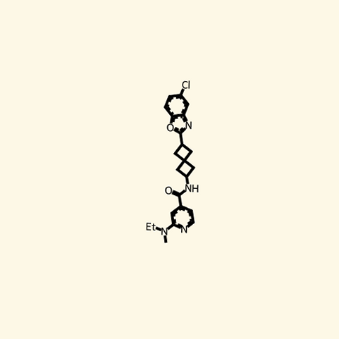 CCN(C)c1cc(C(=O)NC2CC3(C2)CC(c2nc4cc(Cl)ccc4o2)C3)ccn1